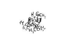 C=C(OCC)OC[C@H](CC)O[C@@H](Cc1nn(C(C)C)c(C)c1Cc1ccc(CC(C)C)cc1)C[C@H](C)O